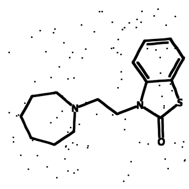 O=c1sc2ccccc2n1CCN1CCCCCC1